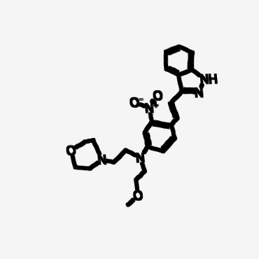 COCCN(CCN1CCOCC1)c1ccc(/C=C/c2n[nH]c3ccccc23)c([N+](=O)[O-])c1